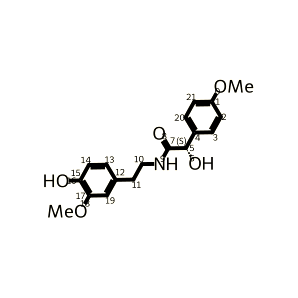 COc1ccc([C@H](O)C(=O)NCCc2ccc(O)c(OC)c2)cc1